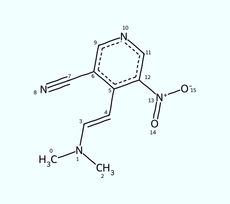 CN(C)/C=C/c1c(C#N)cncc1[N+](=O)[O-]